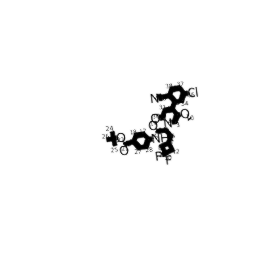 COc1cn(C(CC2CC(F)(F)C2)C(=O)Nc2ccc(C(=O)OC(C)(C)C)cc2)c(=O)cc1-c1cc(Cl)ccc1C#N